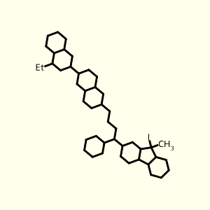 CCC1CC(C2CCC3CC(CCCC(C4CCCCC4)C4CCC5C6CCCCC6C(C)(I)C5C4)CCC3C2)CC2CCCCC12